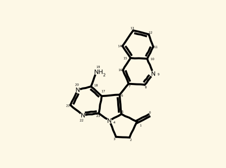 C=C1CCn2c1c(-c1cnc3ccccc3c1)c1c(N)ncnc12